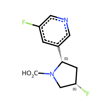 O=C(O)N1C[C@@H](F)C[C@H]1c1cncc(F)c1